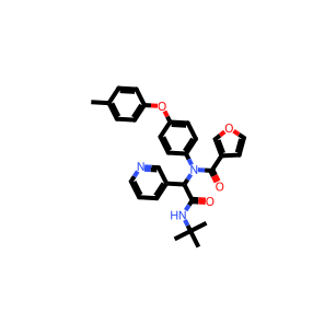 Cc1ccc(Oc2ccc(N(C(=O)c3ccoc3)C(C(=O)NC(C)(C)C)c3cccnc3)cc2)cc1